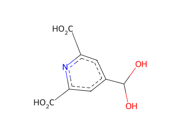 O=C(O)c1cc(C(O)O)cc(C(=O)O)n1